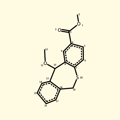 COC(=O)c1ccc2c(c1)C(OC)c1ccccc1CS2